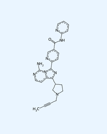 CC#CCN1CCC(c2nc(-c3ccc(C(=O)Nc4ccccn4)cn3)n3c(N)nccc23)C1